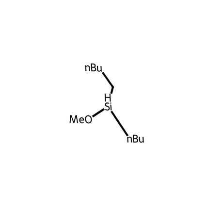 CCCCC[SiH](CCCC)OC